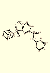 CC1(O)C2CC1CC(S(=O)(=O)c1cc(C(=O)Nc3cccnn3)ccc1Cl)C2